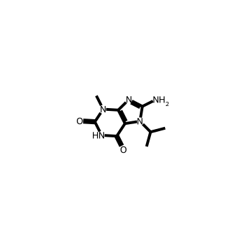 CC(C)n1c(N)nc2c1c(=O)[nH]c(=O)n2C